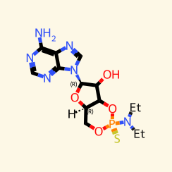 CCN(CC)P1(=S)OC[C@H]2O[C@@H](n3cnc4c(N)ncnc43)C(O)C2O1